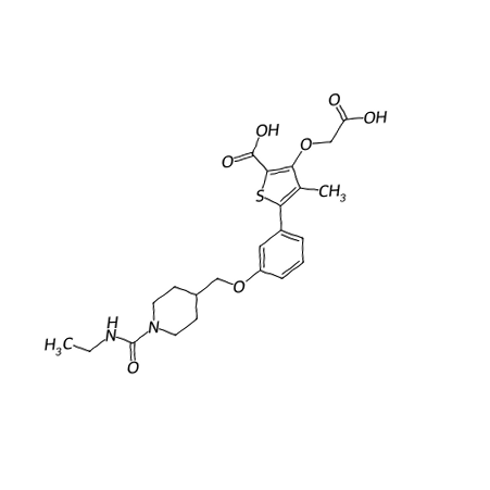 CCNC(=O)N1CCC(COc2cccc(-c3sc(C(=O)O)c(OCC(=O)O)c3C)c2)CC1